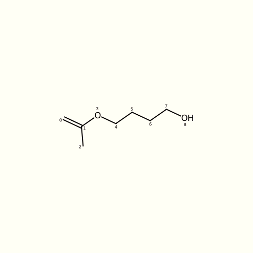 C=C(C)OCCCCO